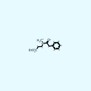 CCOC(=O)CCN(C)C(=O)Cc1ccccc1